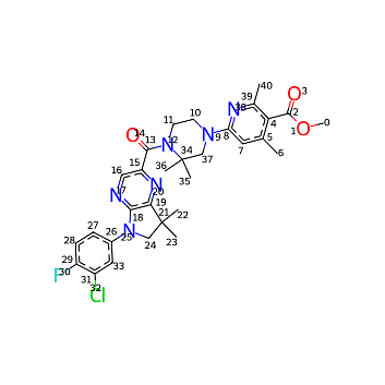 COC(=O)c1c(C)cc(N2CCN(C(=O)c3cnc4c(n3)C(C)(C)CN4c3ccc(F)c(Cl)c3)C(C)(C)C2)nc1C